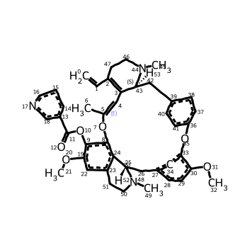 C=CC1=C2/C=C(\C)Oc3c(OC(=O)c4cccnc4)c(OC)cc4c3[C@H](Cc3ccc(OC)c(c3)Oc3ccc(cc3)C[C@@H]2N(C)CC1)N(C)CC4